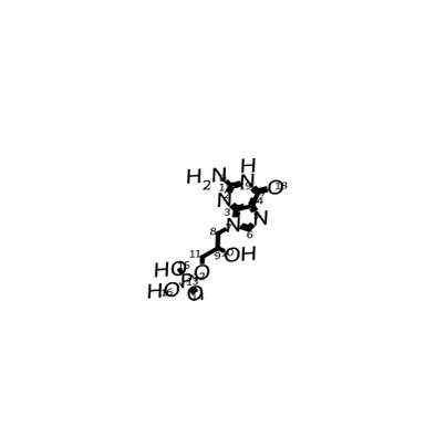 Nc1nc2c(ncn2CC(O)COP(=O)(O)O)c(=O)[nH]1